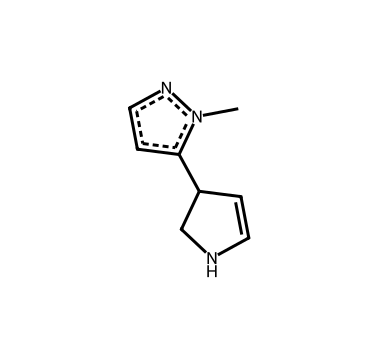 Cn1nccc1C1C=CNC1